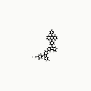 Cc1ccc2c(c1)c1cc(-c3ccc4c(c3)c3ccccc3n4-c3ccc(-c4c5ccccc5c(-c5ccccc5)c5ccccc45)cc3)ccc1n2-c1ccc(C(F)(F)F)cc1